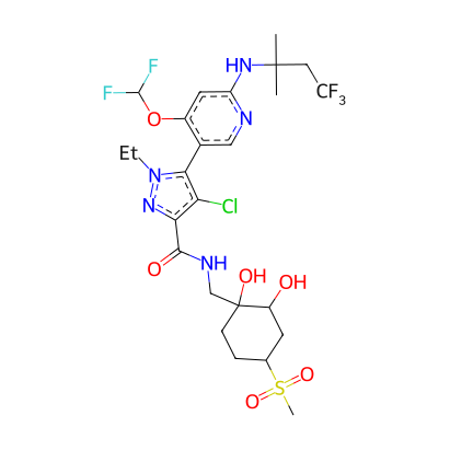 CCn1nc(C(=O)NCC2(O)CCC(S(C)(=O)=O)CC2O)c(Cl)c1-c1cnc(NC(C)(C)CC(F)(F)F)cc1OC(F)F